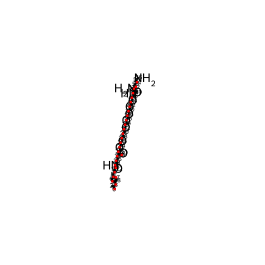 CC(C)Cc1ccc(CCCC(=O)NCCCCC(C=O)CCOCCOCCCCCOCCOCCOCCOCCOCCNC(=O)C(N)CCCCN)cc1